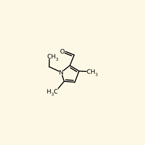 CCn1c(C)cc(C)c1C=O